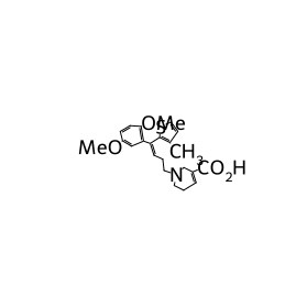 COc1ccc(OC)c(C(=CCCN2CCC=C(C(=O)O)C2)c2sccc2C)c1